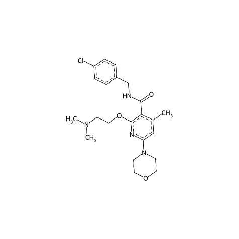 Cc1cc(N2CCOCC2)nc(OCCN(C)C)c1C(=O)NCc1ccc(Cl)cc1